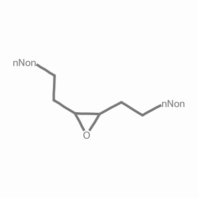 CCCCCCCCCCCC1OC1CCCCCCCCCCC